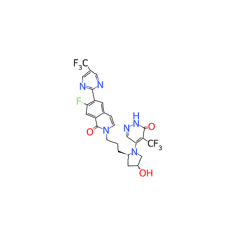 O=c1[nH]ncc(N2C[C@@H](O)C[C@H]2CCCn2ccc3cc(-c4ncc(C(F)(F)F)cn4)c(F)cc3c2=O)c1C(F)(F)F